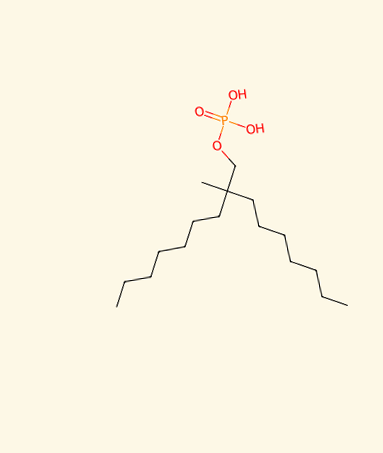 CCCCCCCC(C)(CCCCCCC)COP(=O)(O)O